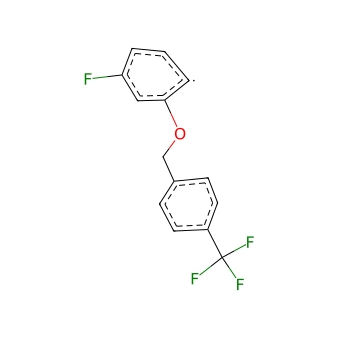 Fc1cc[c]c(OCc2ccc(C(F)(F)F)cc2)c1